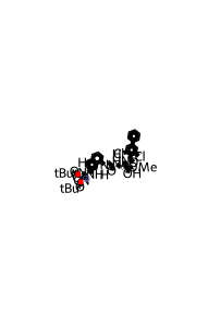 COC(O)[C@H](CNC(=O)CNC1CCCc2ccc(N/C(=N/C(=O)OC(C)(C)C)NC(=O)OC(C)(C)C)cc21)NC(=O)c1c(Cl)cc(-c2ccccc2)cc1Cl